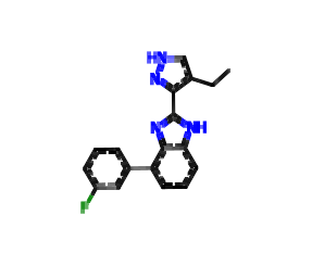 CCc1c[nH]nc1-c1nc2c(-c3cccc(F)c3)cccc2[nH]1